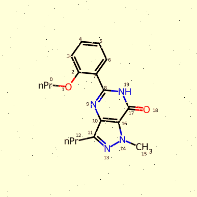 CCCOc1ccccc1-c1nc2c(CCC)nn(C)c2c(=O)[nH]1